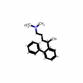 CN(C)CCCC(C#N)c1ccccc1-c1ccccc1